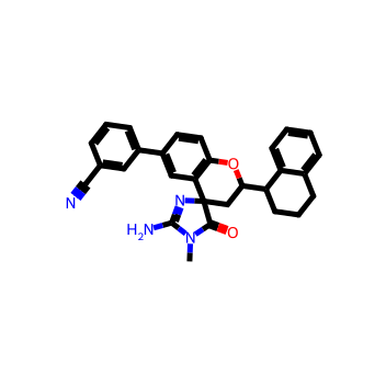 CN1C(=O)C2(CC(C3CCCc4ccccc43)Oc3ccc(-c4cccc(C#N)c4)cc32)N=C1N